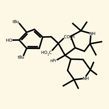 CCCC(C1CC(C)(C)NC(C)(C)C1)(C1CC(C)(C)NC(C)(C)C1)C(Cc1cc(C(C)(C)C)c(O)c(C(C)(C)C)c1)(C(=O)O)C(=O)O